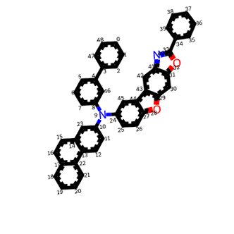 c1ccc(-c2cccc(N(c3ccc4c(ccc5ccccc54)c3)c3ccc4oc5cc6oc(-c7ccccc7)nc6cc5c4c3)c2)cc1